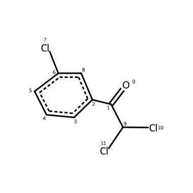 O=C(c1cccc(Cl)c1)C(Cl)Cl